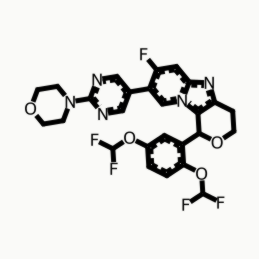 Fc1cc2nc3c(n2cc1-c1cnc(N2CCOCC2)nc1)C(c1cc(OC(F)F)ccc1OC(F)F)OCC3